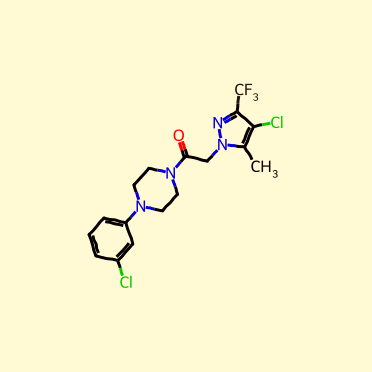 Cc1c(Cl)c(C(F)(F)F)nn1CC(=O)N1CCN(c2cccc(Cl)c2)CC1